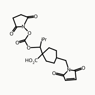 CC(C)C(OC(=O)ON1C(=O)CCC1=O)C1(C(=O)O)CCC(CN2C(=O)C=CC2=O)CC1